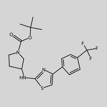 CC(C)(C)OC(=O)N1CCC(Nc2nc(-c3ccc(C(F)(F)F)cc3)cs2)C1